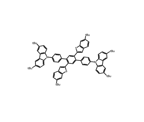 CC(C)(C)c1ccc2cc(-c3cc(-c4ccc(-n5c6ccc(C(C)(C)C)cc6c6cc(C(C)(C)C)ccc65)cc4)c(-c4cc5ccc(C(C)(C)C)cc5s4)cc3-c3ccc(-n4c5ccc(C(C)(C)C)cc5c5cc(C(C)(C)C)ccc54)cc3)sc2c1